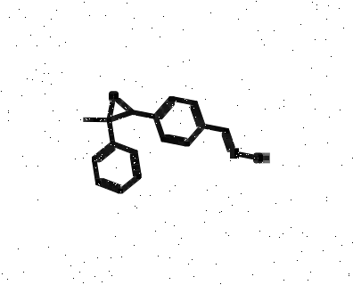 CC1(c2ccccc2)OC1c1ccc(C=NO)cc1